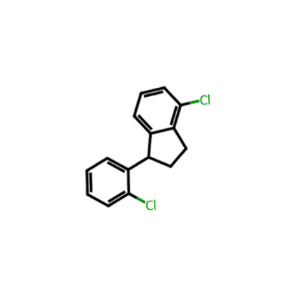 Clc1ccccc1C1CCc2c(Cl)cccc21